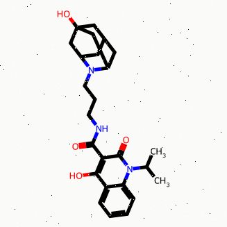 CC(C)n1c(=O)c(C(=O)NCCCN2C3CC4CC2CC(O)(C4)C3)c(O)c2ccccc21